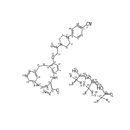 N#Cc1ccc(N2CCN(C(=O)COc3ccc4cc3CCc3cncc(c3)Nc3ncc(Cl)c(n3)N4)CC2)cc1.O=C(O)C(F)(F)F.O=C(O)C(F)(F)F.O=C(O)C(F)(F)F